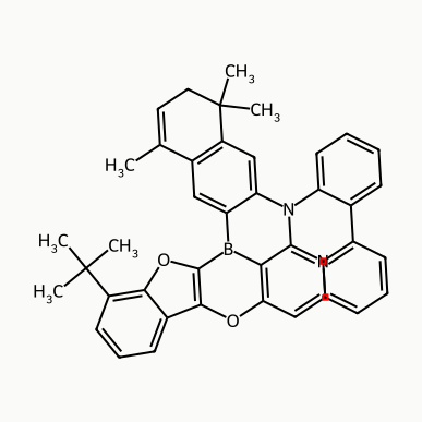 CC1=CCC(C)(C)c2cc3c(cc21)B1c2oc4c(C(C)(C)C)cccc4c2Oc2ccnc(c21)N3c1ccccc1-c1ccccc1